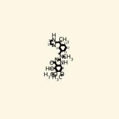 COc1cc2[nH]c(N(C)Cc3cccc(C(C)C4=NCCN4)c3)nc(=O)c2c(O)c1OC